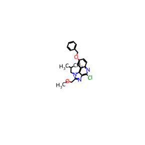 COCc1nc2c(Cl)nc3ccc(OCc4ccccc4)cc3c2n1CC(C)C